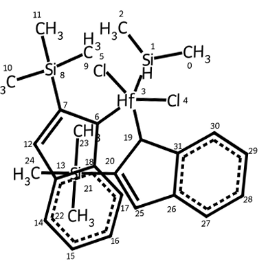 C[SiH](C)[Hf]([Cl])([Cl])([CH]1C([Si](C)(C)C)=Cc2ccccc21)[CH]1C([Si](C)(C)C)=Cc2ccccc21